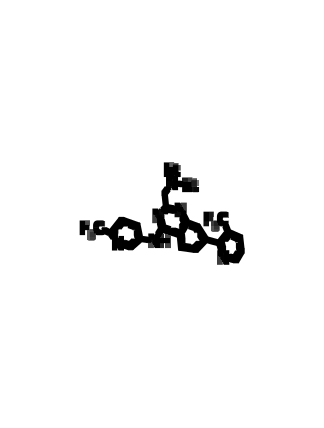 CCN(CC)Cc1nc(Nc2ccc(C(F)(F)F)nc2)c2ccc(-c3ncccc3C(F)(F)F)cc2n1